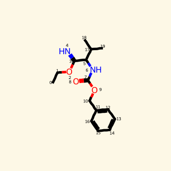 CCOC(=N)C(NC(=O)OCc1ccccc1)C(C)C